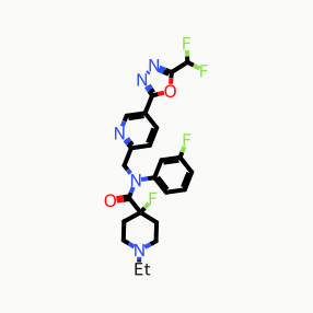 CCN1CCC(F)(C(=O)N(Cc2ccc(-c3nnc(C(F)F)o3)cn2)c2cccc(F)c2)CC1